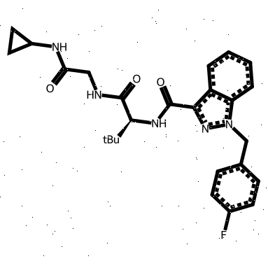 CC(C)(C)[C@H](NC(=O)c1nn(Cc2ccc(F)cc2)c2ccccc12)C(=O)NCC(=O)NC1CC1